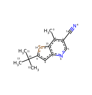 Cc1c(C#N)cnc2cc(C(C)(C)C)sc12